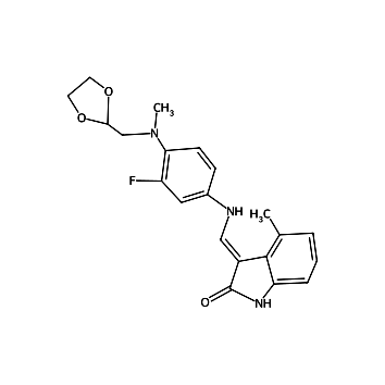 Cc1cccc2c1/C(=C\Nc1ccc(N(C)CC3OCCO3)c(F)c1)C(=O)N2